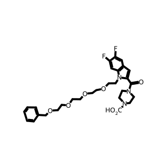 O=C(O)N1CCN(C(=O)c2cc3cc(F)c(F)cc3n2CCOCCOCCOCCOCc2ccccc2)CC1